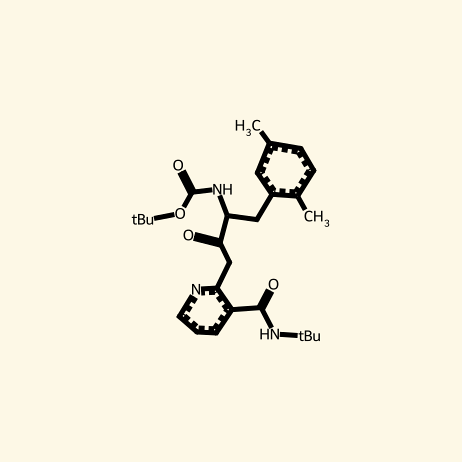 Cc1ccc(C)c(CC(NC(=O)OC(C)(C)C)C(=O)Cc2ncccc2C(=O)NC(C)(C)C)c1